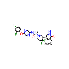 CNCc1cc([C@H]2CN(C(C)C(=O)Nc3cnc(Oc4ccc(F)cc4F)cn3)CCC2(F)F)c[nH]c1=O